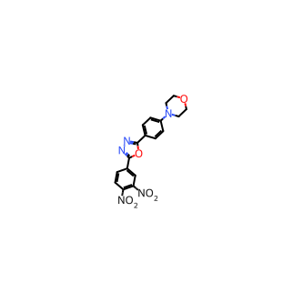 O=[N+]([O-])c1ccc(-c2nnc(-c3ccc(N4CCOCC4)cc3)o2)cc1[N+](=O)[O-]